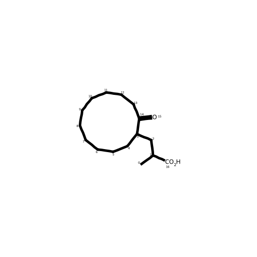 CC(CC1CCCCCCCCCCC1=O)C(=O)O